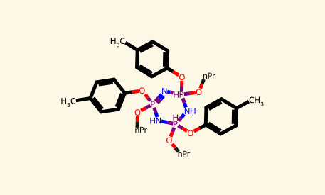 CCCOP1(Oc2ccc(C)cc2)=N[PH](OCCC)(Oc2ccc(C)cc2)N[PH](OCCC)(Oc2ccc(C)cc2)N1